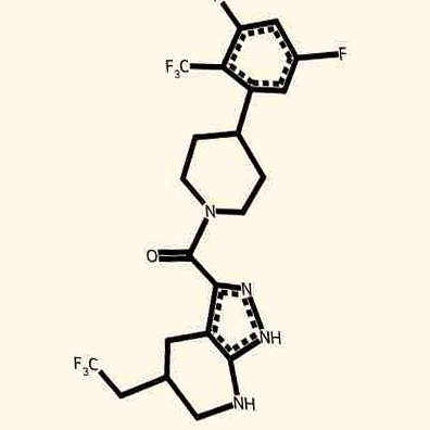 O=C(c1n[nH]c2c1CC(CC(F)(F)F)CN2)N1CCC(c2cc(F)cc(F)c2C(F)(F)F)CC1